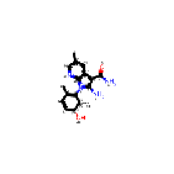 CC1=C(n2c(N)c(C(N)=O)c3cc(C)cnc32)[C@H](C)[C@H](O)C=C1